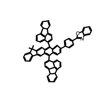 CC1(C)c2ccccc2-c2cc3c(-c4ccc5c6c(cccc46)C4C=CC=CC54)c4ccc(-c5ccc(-c6nc7ccccc7o6)cc5)cc4c(-c4ccc5c6c(cccc46)C4C=CC=CC54)c3cc21